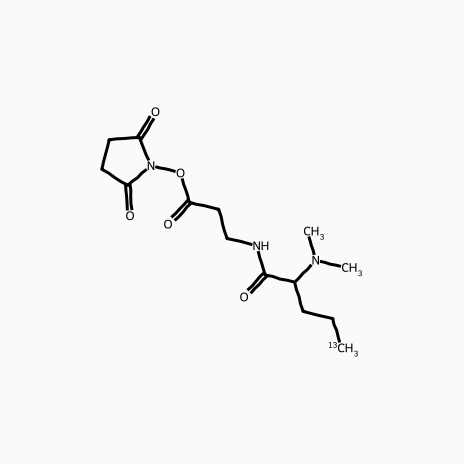 CN(C)C(CC[13CH3])C(=O)NCCC(=O)ON1C(=O)CCC1=O